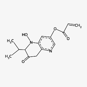 C=CC(=O)Oc1cnc2c(c1)N(O)C(C(C)C)C(=O)C2